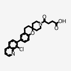 O=C(O)CCC(=O)N1CCC2(CCc3cc(-c4ccc5cccnc5c4Cl)ccc3O2)CC1